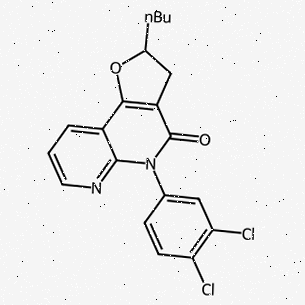 CCCCC1Cc2c(c3cccnc3n(-c3ccc(Cl)c(Cl)c3)c2=O)O1